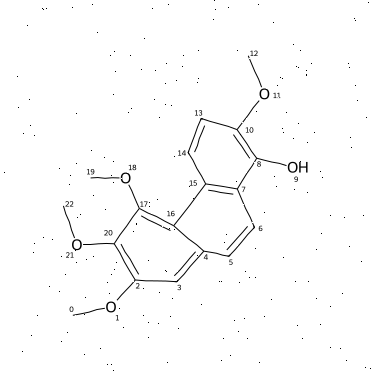 COc1cc2ccc3c(O)c(OC)ccc3c2c(OC)c1OC